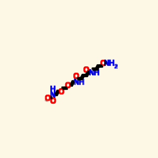 COC(=O)NCCOCCOCCNC(=O)CCCC(=O)NCCCCON